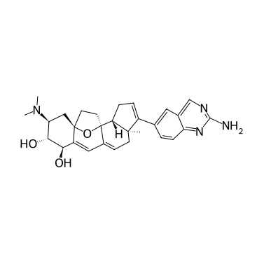 CN(C)[C@H]1C[C@@]23CC[C@@]4(O2)C(=CC[C@]2(C)C(c5ccc6nc(N)ncc6c5)=CC[C@H]24)C=C3[C@@H](O)[C@@H]1O